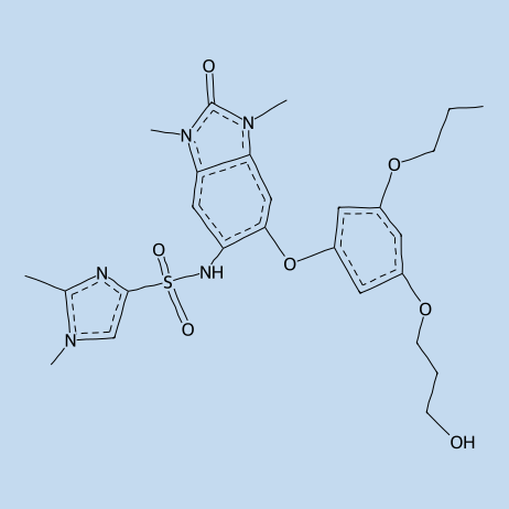 CCCOc1cc(OCCCO)cc(Oc2cc3c(cc2NS(=O)(=O)c2cn(C)c(C)n2)n(C)c(=O)n3C)c1